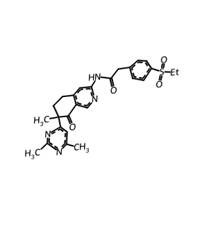 CCS(=O)(=O)c1ccc(CC(=O)Nc2cc3c(cn2)C(=O)C(C)(c2cc(C)nc(C)n2)CC3)cc1